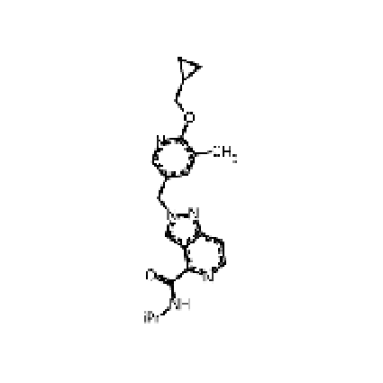 Cc1cc(Cn2cc3c(C(=O)NC(C)C)nccc3n2)cnc1OCC1CC1